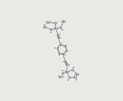 CCO[Si](C#Cc1ccc(C#C[Si](OCC)(OCC)OCC)cc1)(OCC)OCC